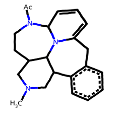 CC(=O)N1CCC2CN(C)CC3c4ccccc4CC4=CC=CC1N4C23